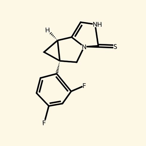 Fc1ccc([C@]23C[C@H]2c2c[nH]c(=S)n2C3)c(F)c1